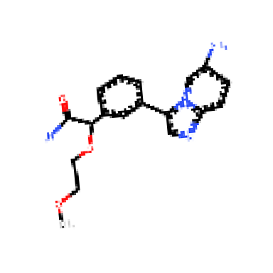 COCCOC(C(N)=O)c1cccc(-c2cnc3ccc(N)cn23)c1